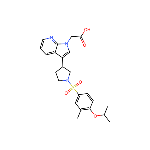 Cc1cc(S(=O)(=O)N2CCC(c3cn(CC(=O)O)c4ncccc34)C2)ccc1OC(C)C